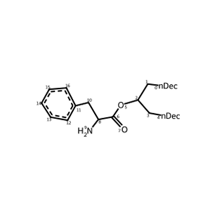 CCCCCCCCCCCC(CCCCCCCCCCC)OC(=O)C(N)Cc1ccccc1